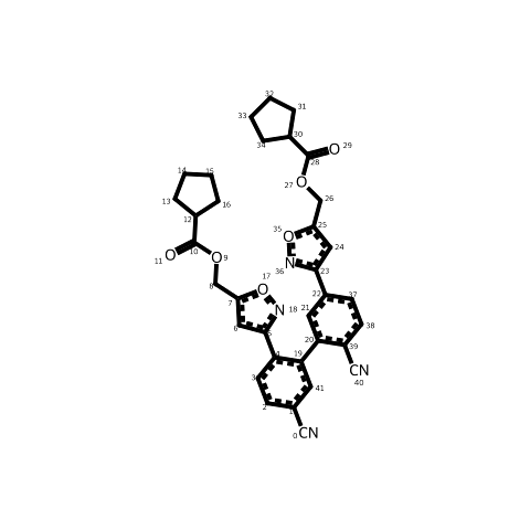 N#Cc1ccc(-c2cc(COC(=O)C3CCCC3)on2)c(-c2cc(-c3cc(COC(=O)C4CCCC4)on3)ccc2C#N)c1